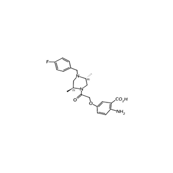 C[C@@H]1CN(C(=O)COc2ccc(N)c(C(=O)O)c2)[C@@H](C)CN1Cc1ccc(F)cc1